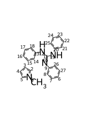 Cn1cccc1.c1ccc(N=C(Nc2ccccc2)Nc2ccccc2)cc1